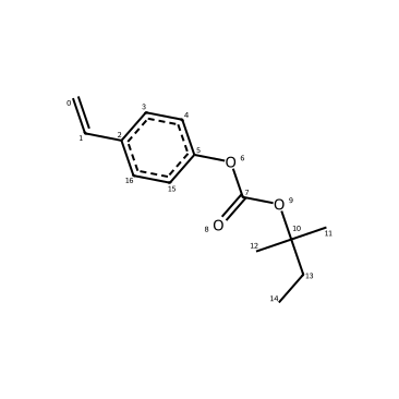 C=Cc1ccc(OC(=O)OC(C)(C)CC)cc1